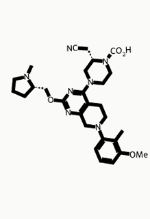 COc1cccc(N2CCc3c(nc(OC[C@@H]4CCCN4C)nc3N3CCN(C(=O)O)[C@@H](CC#N)C3)C2)c1C